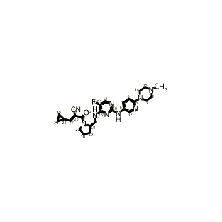 CN1CCN(c2ccc(Nc3ncc(F)c(NCC4CCCN4C(=O)C(C#N)=CC4CC4)n3)cn2)CC1